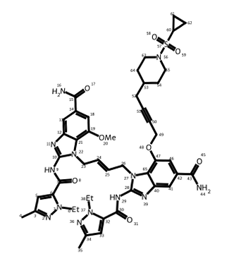 CCn1nc(C)cc1C(=O)Nc1nc2cc(C(N)=O)cc(OC)c2n1CC=CCn1c(NC(=O)c2cc(C)nn2CC)nc2cc(C(N)=O)cc(OCC#CCC3CCN(S(=O)(=O)C4CC4)CC3)c21